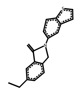 C=C1c2cc(CC)ccc2CN1c1ccc2sccc2c1